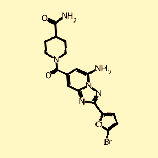 NC(=O)C1CCN(C(=O)c2cc(N)n3nc(-c4ccc(Br)o4)nc3c2)CC1